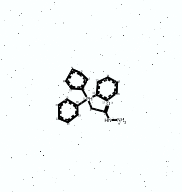 NNC(=O)C[PH](c1ccccc1)(c1ccccc1)c1ccccc1